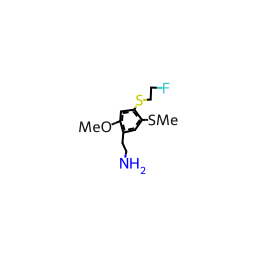 COc1cc(SCCF)c(SC)cc1CCN